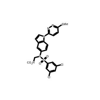 CSc1ccc(-n2ccc3cc(N(CC(=O)O)S(=O)(=O)c4cc(Cl)cc(Cl)c4)ccc32)nn1